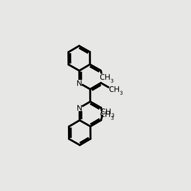 CC=C(/N=C1/C=CC=C/C1=C/C)C(=C/C)/N=C1/C=CC=C/C1=C/C